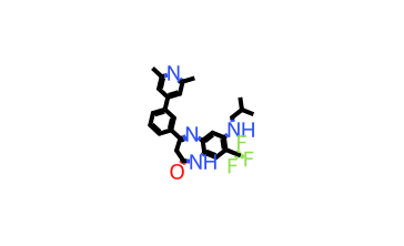 Cc1cc(-c2cccc(C3=Nc4cc(NCC(C)C)c(C(F)(F)F)cc4NC(=O)C3)c2)cc(C)n1